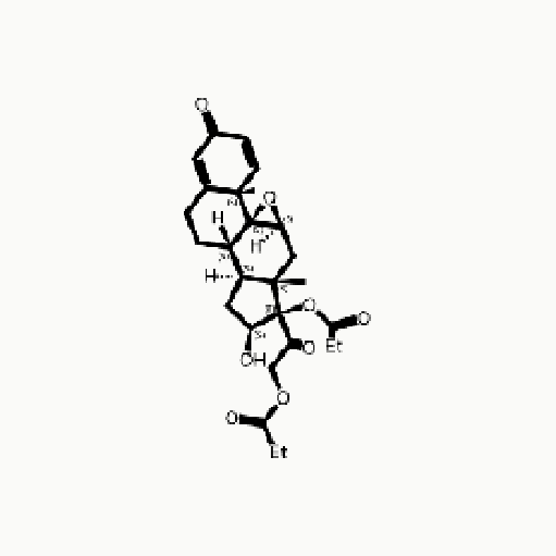 CCC(=O)OCC(=O)[C@]1(OC(=O)CC)[C@@H](O)C[C@H]2[C@@H]3CCC4=CC(=O)C=C[C@]4(C)[C@@]34O[C@H]4C[C@@]21C